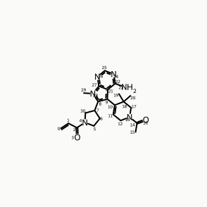 C=CC(=O)N1CCC(c2c(C3=CCN(C(C)=O)CC3(C)C)c3c(N)ncnc3n2C)C1